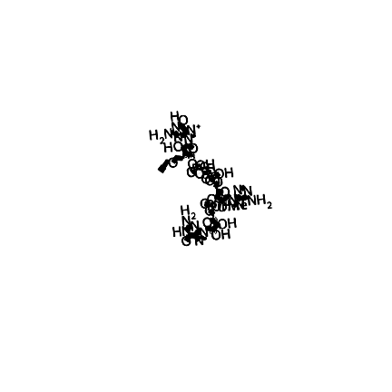 C#CCOCC[C@@H]1[C@@H](COP(=O)(O)OP(=O)(O)OP(=O)(O)OC[C@H]2O[C@@H](n3cnc4c(N)ncnc43)[C@H](OC)[C@@H]2OP(=O)(O)OC[C@H]2O[C@@H](n3cnc4c(=O)[nH]c(N)nc43)[C@H](O)[C@@H]2O)OC(n2c[n+](C)c3c(=O)[nH]c(N)nc32)[C@@H]1O